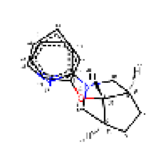 c1ccc(O[C@@H]2[C@@H]3CC[C@H]2CN(c2ccccn2)C3)cc1